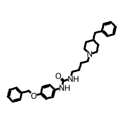 O=C(NCCCCN1CCC(Cc2ccccc2)CC1)Nc1ccc(OCc2ccccc2)cc1